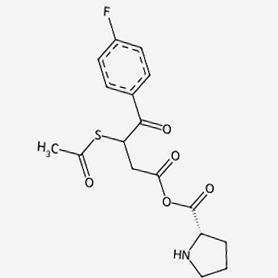 CC(=O)SC(CC(=O)OC(=O)[C@@H]1CCCN1)C(=O)c1ccc(F)cc1